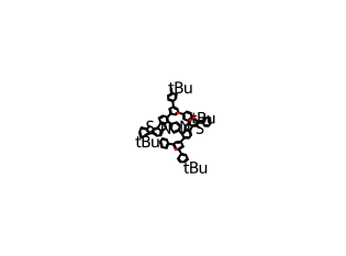 CC(C)(C)c1ccc(-c2cc(-c3ccc(C(C)(C)C)cc3)cc(-c3ccc4c5c6sc7ccccc7c6ccc5n5c6cc7c8c(-c9cc(-c%10ccc(C(C)(C)C)cc%10)cc(-c%10ccc(C(C)(C)C)cc%10)c9)ccc9c%10c%11sc%12ccccc%12c%11ccc%10n(c7cc6c3c45)c98)c2)cc1